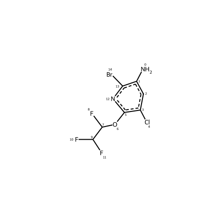 Nc1cc(Cl)c(OC(F)C(F)F)nc1Br